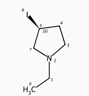 CCN1CC[C@H](I)C1